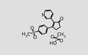 CS(=O)(=O)O.CS(=O)(=O)c1ccc(C2=C(c3cccnc3)C(=O)CC2)cc1